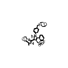 Cc1nc(-c2nn(-c3ccc(CN4CCOCC4)cc3)c3c2CS(=O)(=O)c2c(F)cccc2-3)n2c1COCC2